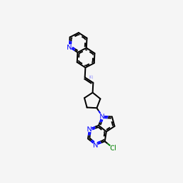 Clc1ncnc2c1ccn2C1CCC(/C=C/c2ccc3cccnc3c2)C1